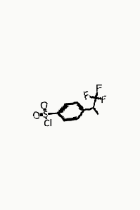 CC(c1ccc(S(=O)(=O)Cl)cc1)C(F)(F)F